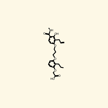 C=CCc1c(OCCCOc2cccc(OCC(=O)O)c2CCC)ccc(C(=O)NC)c1O